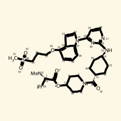 CN[C@H](C(=O)OC1CCN(C(=O)[C@H]2CC[C@H](Nc3nccc(-n4ccc5c(OCCCS(C)(=O)=O)cccc54)n3)CC2)CC1)C(C)C